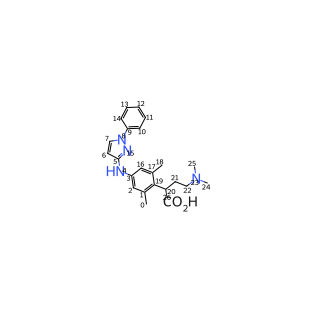 Cc1cc(Nc2ccn(-c3ccccc3)n2)cc(C)c1C(CCN(C)C)C(=O)O